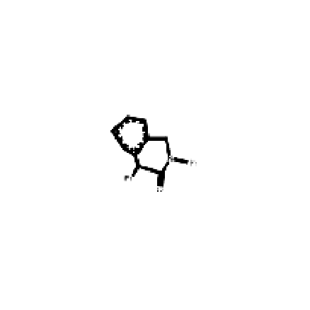 CC(C)C1C(=O)N(C(C)C)Cc2ccccc21